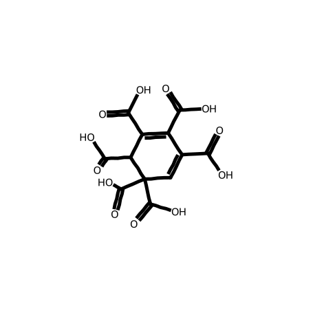 O=C(O)C1=CC(C(=O)O)(C(=O)O)C(C(=O)O)C(C(=O)O)=C1C(=O)O